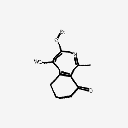 CCOc1nc(C)c2c(c1C#N)CCCC2=O